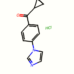 Cl.O=C(c1ccc(-n2ccnc2)cc1)C1CC1